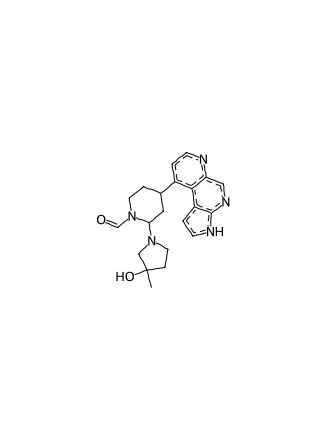 CC1(O)CCN(C2CC(c3ccnc4cnc5[nH]ccc5c34)CCN2C=O)C1